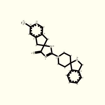 O=C1N=C(N2CCC3(CC2)OCc2ccccc23)OC12Cc1cnc(C(F)(F)F)cc1C2